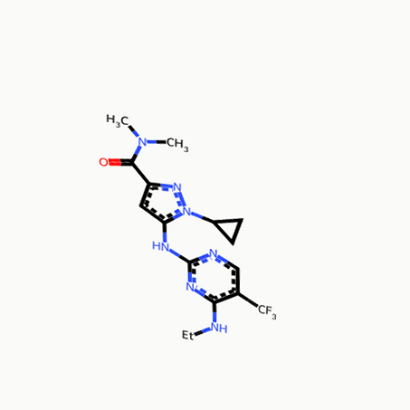 CCNc1nc(Nc2cc(C(=O)N(C)C)nn2C2CC2)ncc1C(F)(F)F